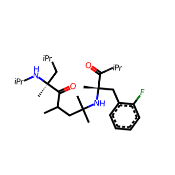 CC(C)C[C@](C)(NC(C)C)C(=O)C(C)CC(C)(C)N[C@@](C)(Cc1ccccc1F)C(=O)C(C)C